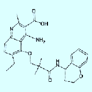 CCc1ccc2nc(C)c(C(=O)O)c(N)c2c1OCC(C)(C)C(=O)NC1CCOc2ccccc21